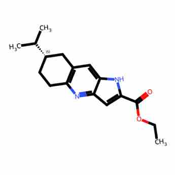 CCOC(=O)c1cc2nc3c(cc2[nH]1)C[C@@H](C(C)C)CC3